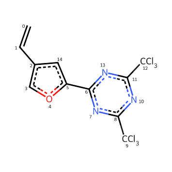 C=Cc1coc(-c2nc(C(Cl)(Cl)Cl)nc(C(Cl)(Cl)Cl)n2)c1